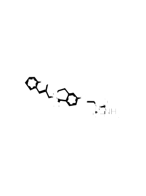 NC(=O)N(O)CCOc1ccc2c(c1)CCN(CC1=Cc3ccccc3OC1)C2=O